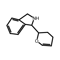 C1=COC(C2NCc3ccccc32)CC1